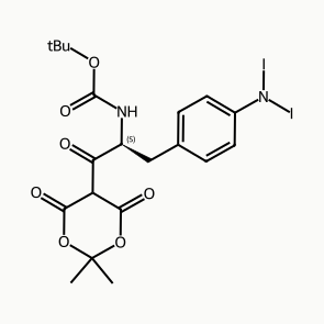 CC(C)(C)OC(=O)N[C@@H](Cc1ccc(N(I)I)cc1)C(=O)C1C(=O)OC(C)(C)OC1=O